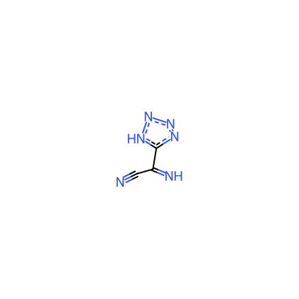 N#CC(=N)c1nnn[nH]1